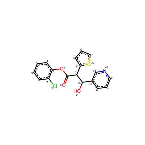 O=C(Oc1ccccc1Cl)C(c1cccs1)C(O)c1cccnc1